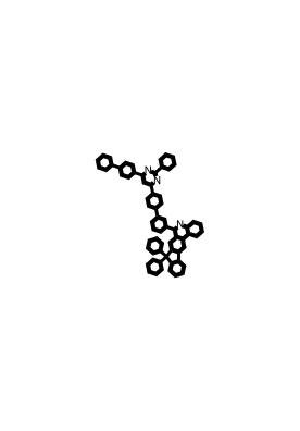 c1ccc(-c2ccc(-c3cc(-c4ccc(-c5cccc(-c6nc7ccccc7c7cc8c(cc67)C(c6ccccc6)(c6ccccc6)c6ccccc6-8)c5)cc4)nc(-c4ccccc4)n3)cc2)cc1